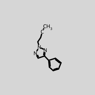 CCCCn1ncc(-c2ccccc2)n1